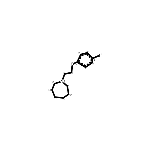 Ic1ccc(OCCN2CCCCCC2)cc1